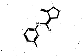 C=C1CCC/C1=C(\N)Nc1cccc(F)c1